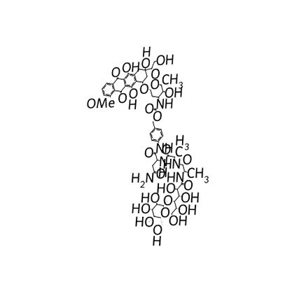 COc1cccc2c1C(=O)c1c(O)c3c(c(O)c1C2=O)C[C@](O)(C(=O)CO)CC3O[C@H]1C[C@H](NC(=O)OCc2ccc(NC(=O)C(CC(N)=O)NC(=O)C(C)NC(=O)C(C)NC(=O)[C@H](O)[C@H](O)[C@@H](O[C@@H]3O[C@H](CO)[C@H](O)[C@H](O)[C@H]3O)[C@H](O)CO)cc2)[C@H](O)[C@H](C)O1